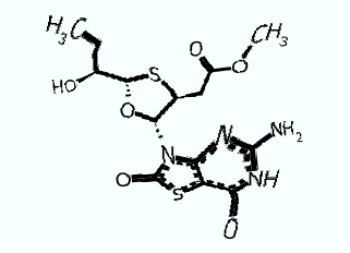 CC[C@H](O)[C@H]1O[C@@H](n2c(=O)sc3c(=O)[nH]c(N)nc32)[C@H](CC(=O)OC)S1